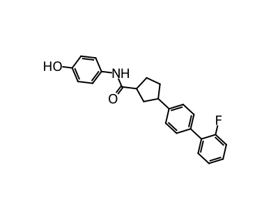 O=C(Nc1ccc(O)cc1)C1CCC(c2ccc(-c3ccccc3F)cc2)C1